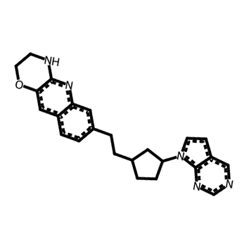 c1ncc2ccn(C3CCC(CCc4ccc5cc6c(nc5c4)NCCO6)C3)c2n1